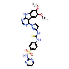 COC1C=c2[nH]c3ncnc(-n4ccc(NC(=S)Nc5ccc(S(=O)(=O)Nc6ncccn6)cc5)n4)c3c2=CC1OC